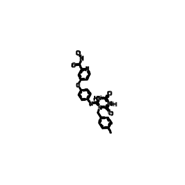 Cc1ccc(Cn2c(=O)[nH]c(=O)[nH]/c2=N\c2ccc(Oc3ccnc(C(=O)N=O)c3)cc2)cc1